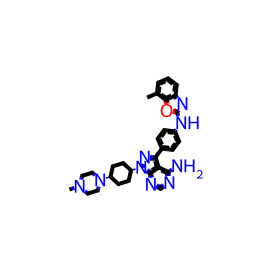 Cc1cccc2nc(Nc3ccc(-c4nn([C@H]5CC[C@@H](N6CCN(C)CC6)CC5)c5ncnc(N)c45)cc3)oc12